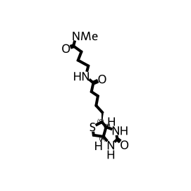 CNC(=O)CCCNC(=O)CCCC[C@@H]1SC[C@@H]2NC(=O)N[C@@H]21